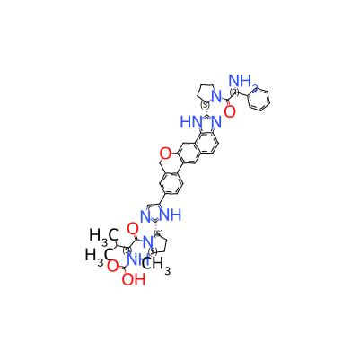 CC(C)[C@H](NC(=O)O)C(=O)N1[C@@H](C)CC[C@H]1c1ncc(-c2ccc3c(c2)COc2cc4c(ccc5nc([C@@H]6CCCN6C(=O)[C@H](N)c6ccccc6)[nH]c54)cc2-3)[nH]1